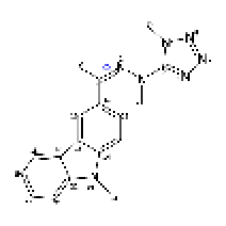 C/C(=N/N(C)c1nnnn1C)c1ccc2c(c1)c1ccccc1n2C